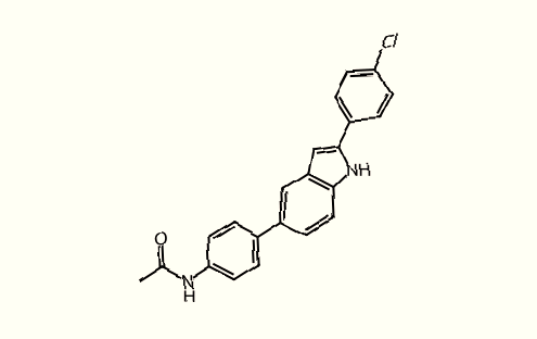 CC(=O)Nc1ccc(-c2ccc3[nH]c(-c4ccc(Cl)cc4)cc3c2)cc1